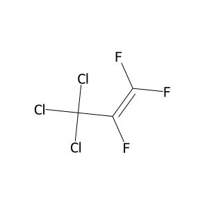 FC(F)=C(F)C(Cl)(Cl)Cl